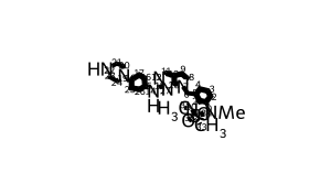 CNc1cccc(Cn2ccc3cnc(Nc4ccc(N5CCNCC5)cc4)nc32)c1N(C)S(C)(=O)=O